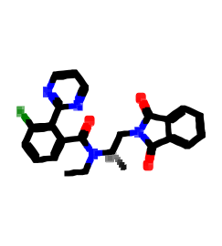 CCN(C(=O)c1cccc(F)c1-c1ncccn1)[C@@H](C)CN1C(=O)c2ccccc2C1=O